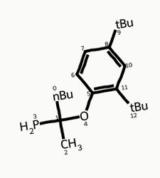 CCCCC(C)(P)Oc1ccc(C(C)(C)C)cc1C(C)(C)C